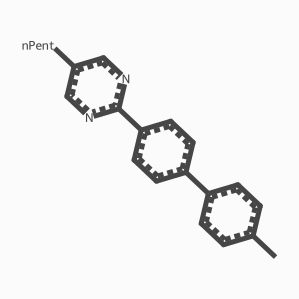 CCCCCc1cnc(-c2ccc(-c3ccc(C)cc3)cc2)nc1